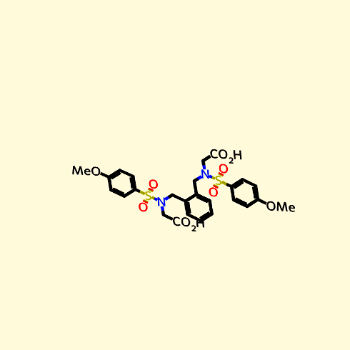 COc1ccc(S(=O)(=O)N(CC(=O)O)Cc2ccccc2CN(CC(=O)O)S(=O)(=O)c2ccc(OC)cc2)cc1